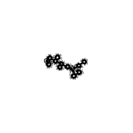 c1ccc(-c2ccc(-c3nc(-c4ccc(-c5ccc(-c6ccc(-c7cccc8oc9ccccc9c78)c7ccccc67)c6ccccc56)cc4)nc(-c4ccccc4-c4ccccc4)n3)cc2)cc1